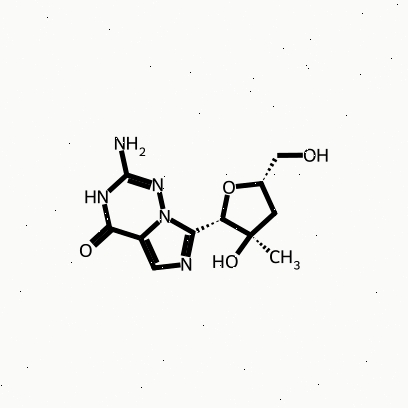 C[C@@]1(O)C[C@@H](CO)O[C@H]1c1ncc2c(=O)[nH]c(N)nn12